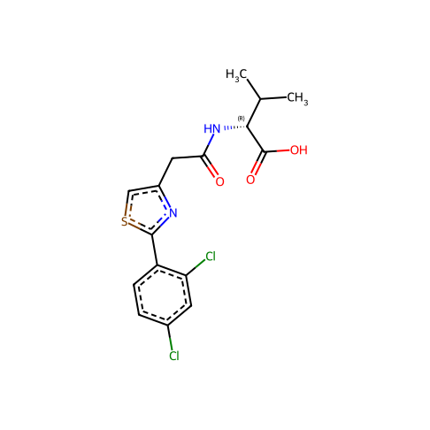 CC(C)[C@@H](NC(=O)Cc1csc(-c2ccc(Cl)cc2Cl)n1)C(=O)O